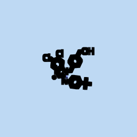 Cn1/c(=N/c2ccc(C(C)(C)C)cc2)n(Cc2ccc(CO)cc2)c2cc(Cl)c(Cl)cc21